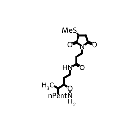 CCCCCC(C)C(CCNC(=O)CCN1C(=O)CC(SC)C1=O)ON